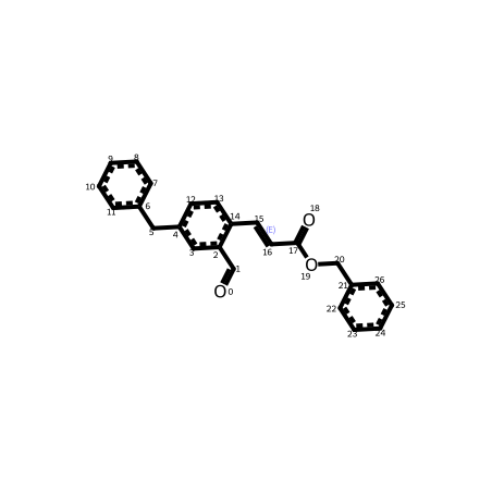 O=Cc1cc(Cc2ccccc2)ccc1/C=C/C(=O)OCc1ccccc1